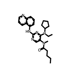 CCCCC(=O)N(C)c1cnc(Nc2cccc3ncccc23)nc1N(CC)C1CCCC1